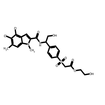 Cc1cc2c(cc(C(=O)NC(CO)c3ccc(S(=O)(=O)CC(=O)OCCO)cc3)n2C)c(Cl)c1Cl